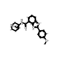 COc1ccc(-c2nc3cccc(C(=O)NC4CN5CCC4CC5)c3o2)cc1